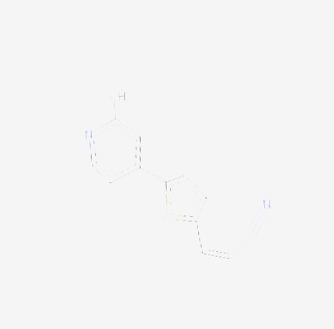 Cc1cc(-c2ccc(/C=C\C#N)s2)ccn1